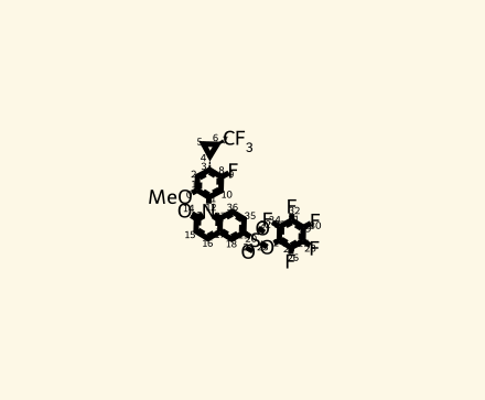 COc1cc([C@@H]2C[C@H]2C(F)(F)F)c(F)cc1-n1c(=O)ccc2cc(S(=O)(=O)Oc3c(F)c(F)c(F)c(F)c3F)ccc21